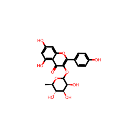 C[C@H]1OC(Oc2c(-c3ccc(O)cc3)oc3cc(O)cc(O)c3c2=O)[C@@H](O)[C@@H](O)[C@@H]1O